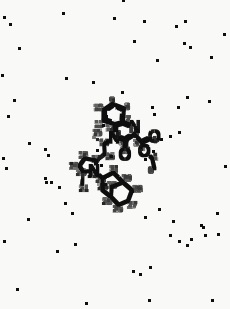 CCOC(=O)c1nc2ccccc2n([C@@H](C)C[C@@H]2CC[C@H](C)N2C2CC3CCCC(C3)C2)c1=O